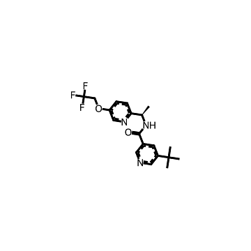 C[C@@H](NC(=O)c1cncc(C(C)(C)C)c1)c1ccc(OCC(F)(F)F)cn1